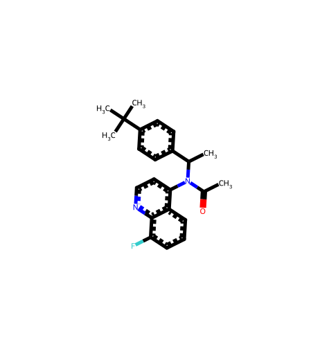 CC(=O)N(c1ccnc2c(F)cccc12)C(C)c1ccc(C(C)(C)C)cc1